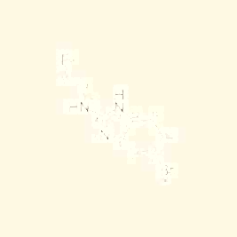 FCCNc1nc2cc(Br)ccc2[nH]1